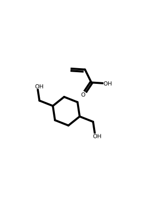 C=CC(=O)O.OCC1CCC(CO)CC1